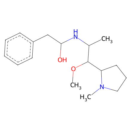 COC(C(C)NC(O)Cc1ccccc1)C1CCCN1C